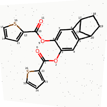 O=C(Oc1cc2c(cc1OC(=O)c1cccs1)C1CCC2C1)c1cccs1